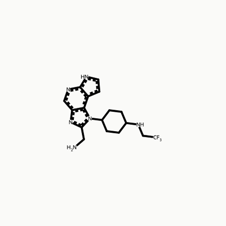 NCc1nc2cnc3[nH]ccc3c2n1C1CCC(NCC(F)(F)F)CC1